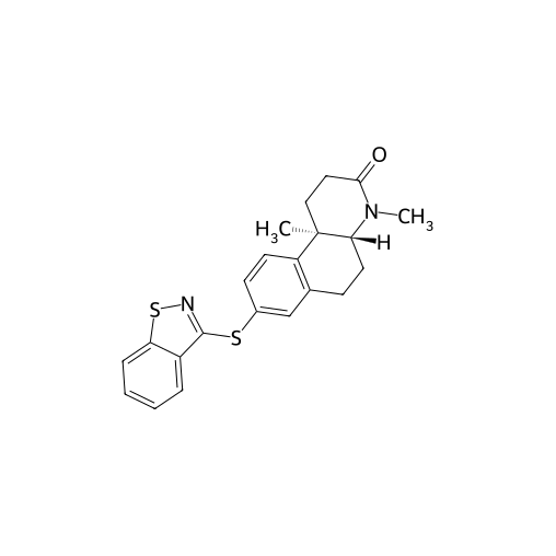 CN1C(=O)CC[C@]2(C)c3ccc(Sc4nsc5ccccc45)cc3CC[C@@H]12